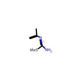 C=C(C)/N=C(/N)SC